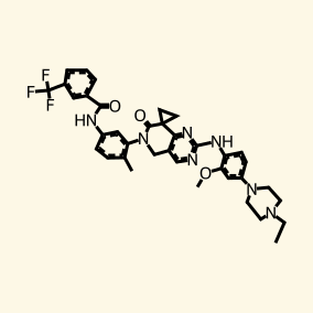 CCN1CCN(c2ccc(Nc3ncc4c(n3)C3(CC3)C(=O)N(c3cc(NC(=O)c5cccc(C(F)(F)F)c5)ccc3C)C4)c(OC)c2)CC1